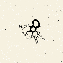 COc1c(C)c(B(O)O)c(OC)c2ccccc12